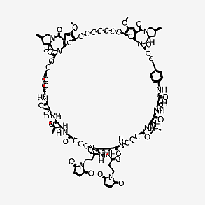 C=C1C[C@H]2CN3C(=O)OCc4ccc(cc4)NC(=O)[C@H](C)NC(=O)[C@H](C(C)C)NC(=O)CCCNC(=O)[C@@H](NC(=O)CCN4C(=O)C=CC4=O)[C@@H](NC(=O)CCN4C(=O)C=CC4=O)C(=O)NCCCC(=O)N[C@@H](C(C)C)C(=O)N[C@@H](C)C(=O)Nc4ccc(cc4)COC(=O)N4C[C@@H]5CC(=C)CN5C(=O)c5cc(OC)c(cc54)OCCCCCOc4cc3c(cc4OC)C(=O)N2C1